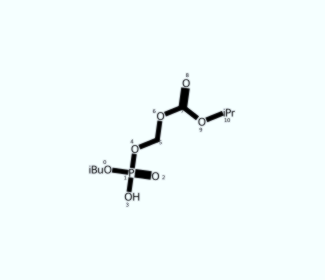 CC(C)COP(=O)(O)OCOC(=O)OC(C)C